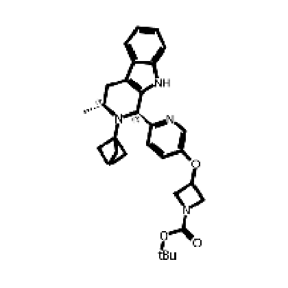 C[C@@H]1Cc2c([nH]c3ccccc23)[C@@H](c2ccc(OC3CN(C(=O)OC(C)(C)C)C3)cn2)N1C12CC(C1)C2